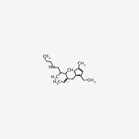 C/C=C(/CC1=C(CC)C=C(C)C1)C(C)C(C)CNCCC